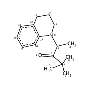 CC(C(=O)C(C)(C)C)N1CCCc2ccccc21